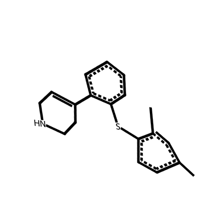 Cc1ccc(Sc2ccccc2C2=CCNCC2)c(C)c1